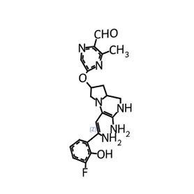 Cc1nc(OC2CC3CNC(N)=C(/C=C(\N)c4cccc(F)c4O)N3C2)cnc1C=O